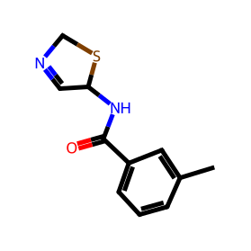 Cc1cccc(C(=O)NC2C=NCS2)c1